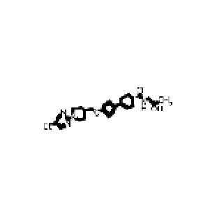 CCc1cnc(N2CCC(COc3ccc(C4=CC[C@@H](C(=O)NCC(C)O)CC4)cc3)CC2)nc1